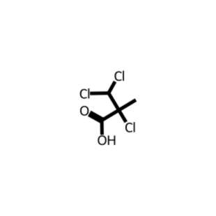 CC(Cl)(C(=O)O)C(Cl)Cl